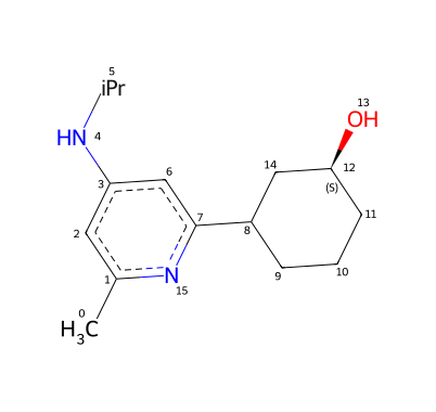 Cc1cc(NC(C)C)cc(C2CCC[C@H](O)C2)n1